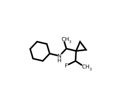 CC(F)C1(C(C)NC2CCCCC2)CC1